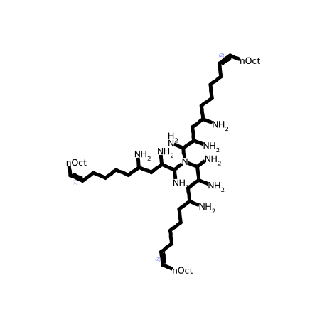 CCCCCCCC/C=C\CCCCC(N)CC(N)C(N)N(C(N)C(N)CC(N)CCCC/C=C\CCCCCCCC)C(N)C(N)CC(N)CCCC/C=C\CCCCCCCC